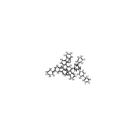 c1ccc(-c2ccc(-c3nc(-c4ccccc4)nc(-c4cc(-c5c(-n6c7ccccc7c7cc(-c8ccccc8)ccc76)ccc6c5oc5ccccc56)cc5oc6ccccc6c45)n3)cc2)cc1